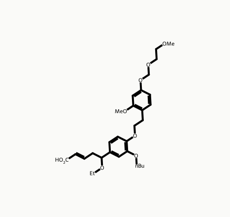 CCCCOc1cc(C(CC=CC(=O)O)OCC)ccc1OCCc1ccc(OCOCCOC)cc1OC